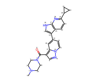 CN1CCN(C(=O)c2cnn3ccc(-c4c[nH]c5nc(C6CC6)ccc45)cc23)CC1